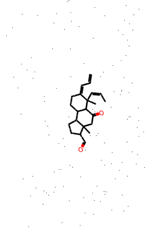 C=C/C=C1/CCC2C(C(=O)CC3(C)C(C=O)CCC23)C1(C)/C=C\C